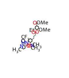 CCc1cc(C(=O)OC)cc(OC)c1OC(=O)CCCc1ccc(NC(=O)c2ccc(C)nc2-c2ccc(C(F)(F)F)cc2)c(C(=O)N(C)C)c1